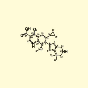 COc1c(-c2cc3c(s2)C(C)(C)CNC3)c(C2CC2)cc2c(=O)c(C(=O)O)c[nH]c12